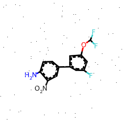 Nc1ccc(-c2cc(F)cc(OC(F)F)c2)cc1[N+](=O)[O-]